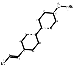 CCC=C[C@H]1CC[C@H]([C@H]2CC[C@H](OCCCC)CC2)CC1